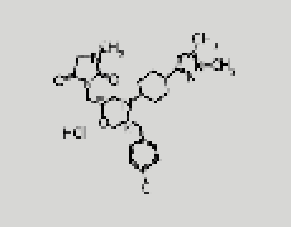 Cc1cc(C2CCC(N3C[C@H](CN4C(=O)CN(C)C4=O)OC[C@@H]3Cc3ccc(Cl)cc3)CC2)nn1C.Cl